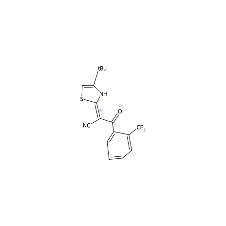 CC(C)(C)C1=CS/C(=C(\C#N)C(=O)c2ccccc2C(F)(F)F)N1